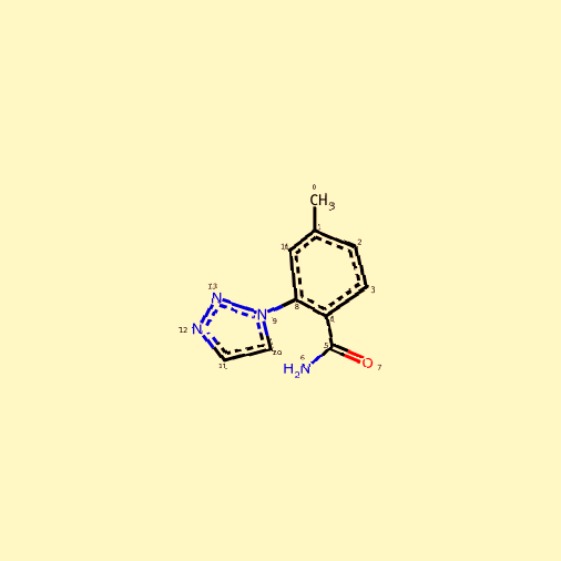 Cc1ccc(C(N)=O)c(-n2ccnn2)c1